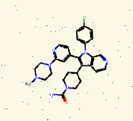 CN1CCN(c2cc(-c3c(C4CCN(C(N)=O)CC4)c4ccncc4n3-c3ccc(Cl)cc3)ccn2)CC1